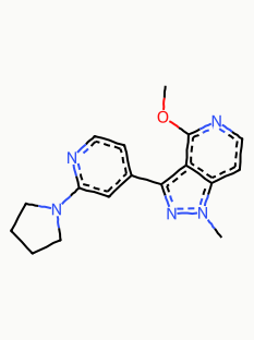 COc1nccc2c1c(-c1ccnc(N3CCCC3)c1)nn2C